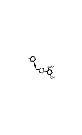 COc1ccc(C#N)cc1N1CCC(=CC#Cc2cccc(C)n2)CC1